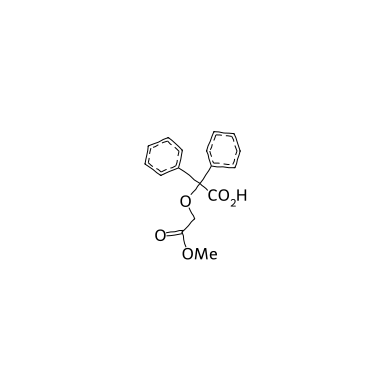 COC(=O)COC(C(=O)O)(c1ccccc1)c1ccccc1